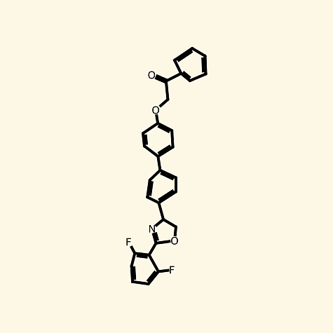 O=C(COc1ccc(-c2ccc(C3COC(c4c(F)cccc4F)=N3)cc2)cc1)c1ccccc1